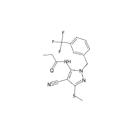 CCC(=O)Nc1c(C#N)c(SC)nn1Cc1cccc(C(F)(F)F)c1